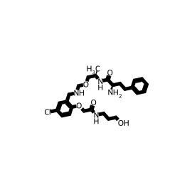 C[C@@H](COCNCc1cc(Cl)ccc1OCC(=O)NCCCO)NC(=O)[C@H](N)CCc1ccccc1